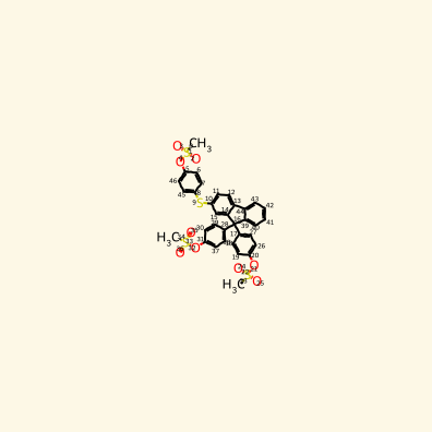 CS(=O)(=O)Oc1ccc(Sc2ccc3c(c2)C(c2ccc(OS(C)(=O)=O)cc2)(c2ccc(OS(C)(=O)=O)cc2)c2ccccc2-3)cc1